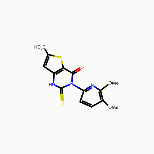 COc1ccc(-n2c(=S)[nH]c3cc(C(=O)O)sc3c2=O)nc1OC